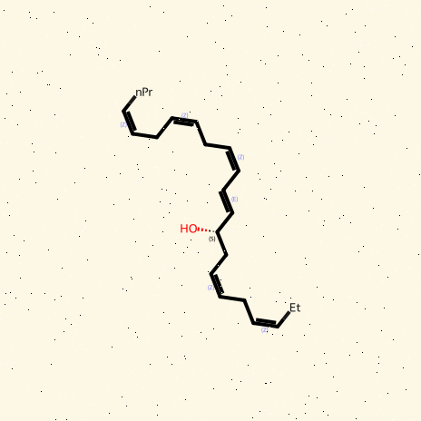 CC/C=C\C/C=C\C[C@H](O)/C=C/C=C\C/C=C\C/C=C\CCC